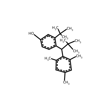 Cc1cc(C)c(C(c2ccc(O)cc2C(C)(C)C)C(C)(C)C)c(C)c1